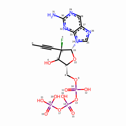 CC#C[C@@]1(F)C(O)[C@@H](COP(=O)(O)OP(=O)(O)OP(=O)(O)O)O[C@H]1n1cnc2cnc(N)nc21